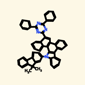 CC1(C)c2ccccc2-c2ccc(-n3c4ccccc4c4c5ccccc5c5cc(-c6nc(-c7ccccc7)nc(-c7ccccc7)n6)c6ccccc6c5c43)cc21